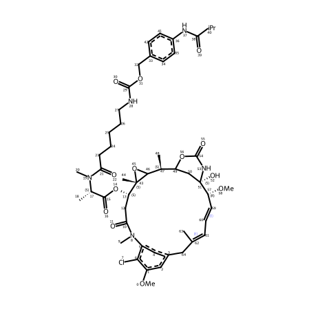 COc1cc2cc(c1Cl)N(C)C(=O)C[C@H](OC(=O)[C@H](C)N(C)C(=O)CCCCCNC(=O)OCc1ccc(NC(=O)C(C)C)cc1)[C@]1(C)OC1[C@@H](C)C1C[C@@](O)(NC(=O)O1)[C@H](OC)/C=C/C=C(\C)C2